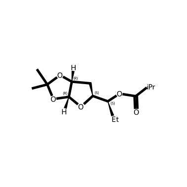 CC[C@H](OC(=O)C(C)C)[C@@H]1C[C@H]2OC(C)(C)O[C@H]2O1